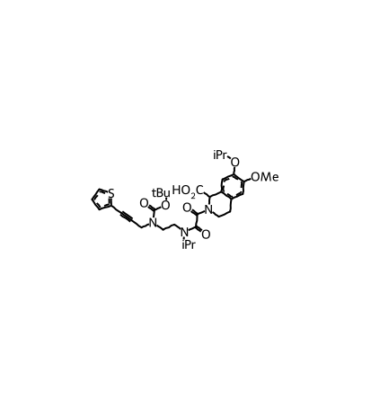 COc1cc2c(cc1OC(C)C)C(C(=O)O)N(C(=O)C(=O)N(CCN(CC#Cc1cccs1)C(=O)OC(C)(C)C)C(C)C)CC2